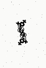 CC(C)(C)c1ccc(O[P@]2OCC3(CO[P@@](Oc4ccc(C(C)(C)C)cc4C(C)(C)C)OC3)CO2)c(C(C)(C)C)c1